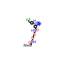 COCC(=O)NCCOCCOCCNC(=O)c1ccc(Nc2ccc(CC(F)F)cc2)c(-c2nnn(C)n2)c1